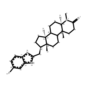 CN1C(=O)CC[C@]2(C)C3CC[C@]4(C)[C@@H](Cc5nc6ccc(F)cc6[nH]5)CC[C@H]4C3CC[C@@H]12